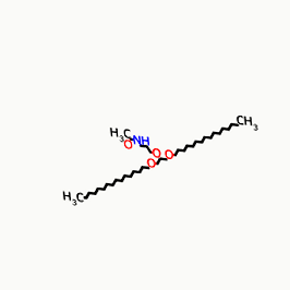 CCCCCCCCCCCCCCCCOCC(COCCCCCCCCCCCCCCCC)OCCCNC(C)=O